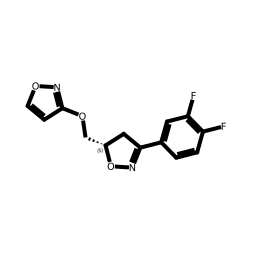 Fc1ccc(C2=NO[C@H](COc3ccon3)C2)cc1F